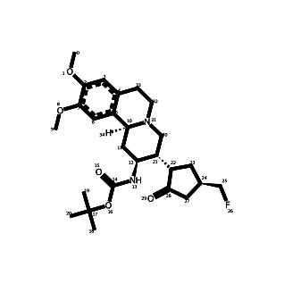 COc1cc2c(cc1OC)[C@@H]1C[C@H](NC(=O)OC(C)(C)C)[C@@H](C3C[C@@H](CF)CC3=O)CN1CC2